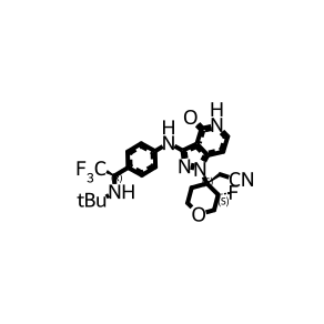 CC(C)(C)N[C@H](c1ccc(Nc2nn([C@@]3(CC#N)CCOC[C@H]3F)c3cc[nH]c(=O)c23)cc1)C(F)(F)F